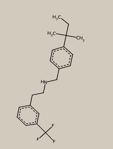 CCC(C)(C)c1ccc(CNCCc2cccc(C(F)(F)F)c2)cc1